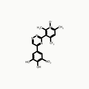 Cc1cc(C(F)(F)F)c(-c2nncc(-c3cc(O)c(O)c([N+](=O)[O-])c3)n2)c(C)[n+]1[O-]